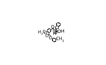 COc1ccc(C(=O)NC2(C(=O)O)Cc3ccccc3C2)cc1C(=O)COc1cccc(C)c1